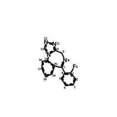 Fc1ccccc1C1=NCc2nncn2-c2cc[c]cc21